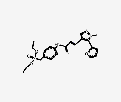 CCOP(=O)(Cc1ccc(NC(=O)/C=C/c2cnn(C)c2-c2ccco2)cc1)OCC